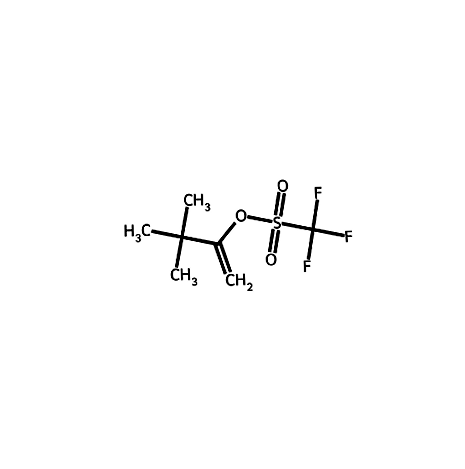 C=C(OS(=O)(=O)C(F)(F)F)C(C)(C)C